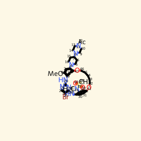 COc1cc(N2CCC(N3CCN(C(C)=O)CC3)CC2)c2cc1Nc1ncc(Br)c(n1)Nc1ccc(cc1N(C)S(C)(=O)=O)OCCCCCO2